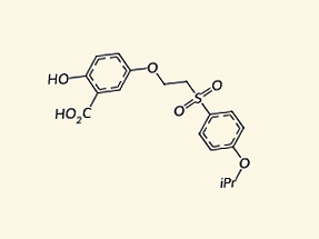 CC(C)Oc1ccc(S(=O)(=O)CCOc2ccc(O)c(C(=O)O)c2)cc1